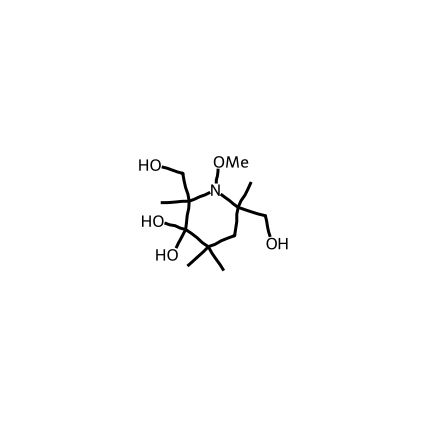 CON1C(C)(CO)CC(C)(C)C(O)(O)C1(C)CO